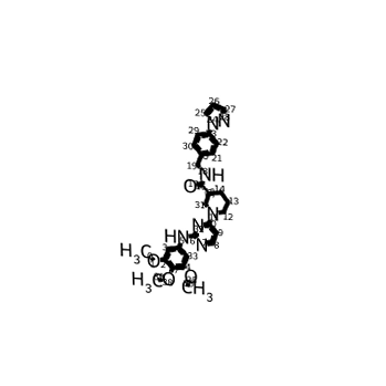 COc1cc(Nc2nccc(N3CCC[C@H](C(=O)NCc4ccc(-n5cccn5)cc4)C3)n2)cc(OC)c1OC